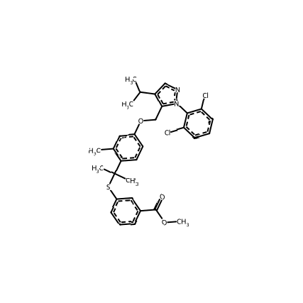 COC(=O)c1cccc(SC(C)(C)c2ccc(OCc3c(C(C)C)cnn3-c3c(Cl)cccc3Cl)cc2C)c1